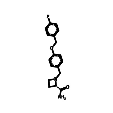 NC(=O)[C@@H]1CCN1Cc1ccc(OCc2ccc(F)cc2)cc1